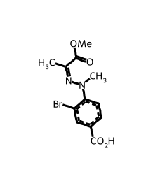 COC(=O)C(C)=NN(C)c1ccc(C(=O)O)cc1Br